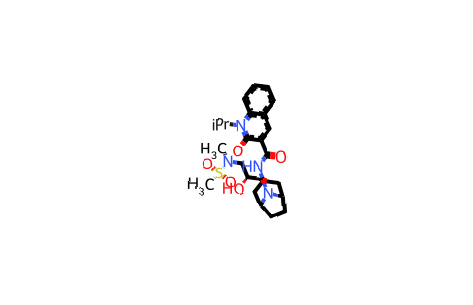 CC(C)n1c(=O)c(C(=O)NC2CC3CCC(C2)N3C[C@@H](O)CN(C)S(C)(=O)=O)cc2ccccc21